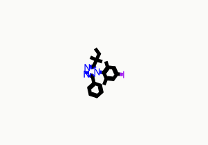 CCC(C)(C)c1nnc(-c2ccccc2)n1-c1c(C)cc(I)cc1C